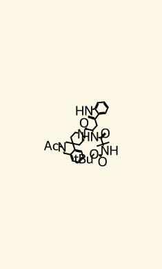 CC(=O)N1Cc2ccccc2C2(CCN(C(=O)C(Cc3c[nH]c4ccccc34)NC(=O)C(C)(C)NC(=O)OC(C)(C)C)CC2)C1